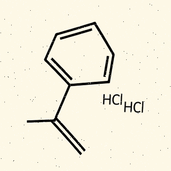 C=C(C)c1ccccc1.Cl.Cl